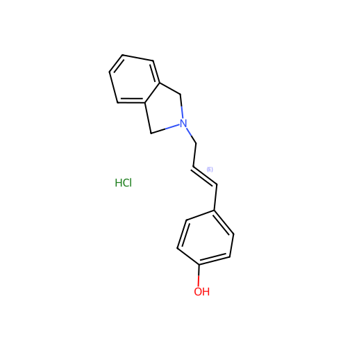 Cl.Oc1ccc(/C=C/CN2Cc3ccccc3C2)cc1